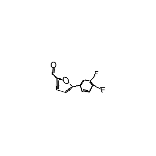 O=Cc1ccc(-c2ccc(F)c(F)c2)o1